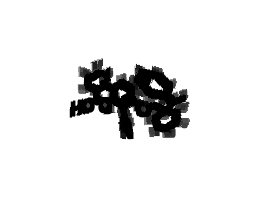 CC(c1ccccc1)C1(COc2ccc(-c3ncccc3C(=O)O)cc2C#N)CCCCC1